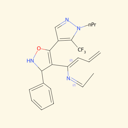 C=C/C=C(\N=C/C)C1=C(c2cnn(CCC)c2C(F)(F)F)ONC1c1ccccc1